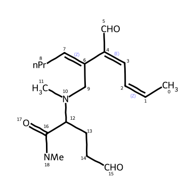 C\C=C/C=C(C=O)\C(=C\CCC)CN(C)C(CCC=O)C(=O)NC